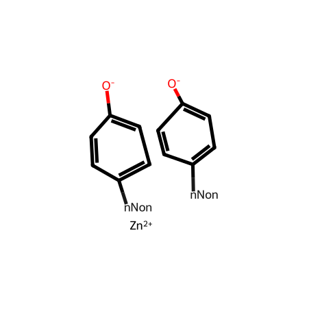 CCCCCCCCCc1ccc([O-])cc1.CCCCCCCCCc1ccc([O-])cc1.[Zn+2]